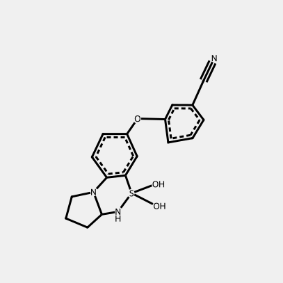 N#Cc1cccc(Oc2ccc3c(c2)S(O)(O)NC2CCCN32)c1